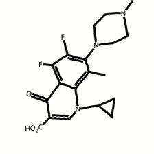 Cc1c(N2CCN(C)CC2)c(F)c(F)c2c(=O)c(C(=O)O)cn(C3CC3)c12